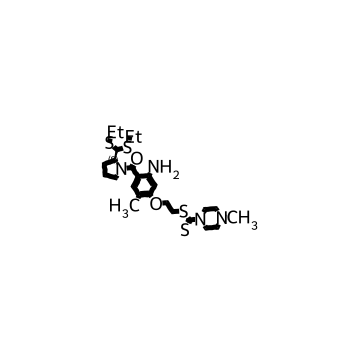 CCSC(SCC)[C@@H]1CCCN1C(=O)c1cc(C)c(OCCSC(=S)N2CCN(C)CC2)cc1N